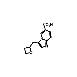 O=C(O)c1ccc2ncc(CC3CCO3)n2c1